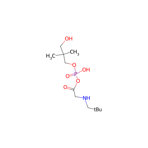 CC(C)(C)CNCC(=O)OP(=O)(O)OCC(C)(C)CO